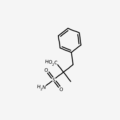 CC(Cc1ccccc1)(C(=O)O)S(N)(=O)=O